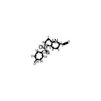 C#Cc1ccc2c(ccn2S(=O)(=O)c2ccc(C)cc2)n1